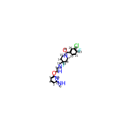 CNc1cccc(OCCNCC2(F)CCN(C(=O)c3ccc(F)c(Cl)c3)CC2)n1